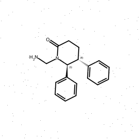 NCN1C(=O)CC[C@H](c2ccccc2)[C@H]1c1ccccc1